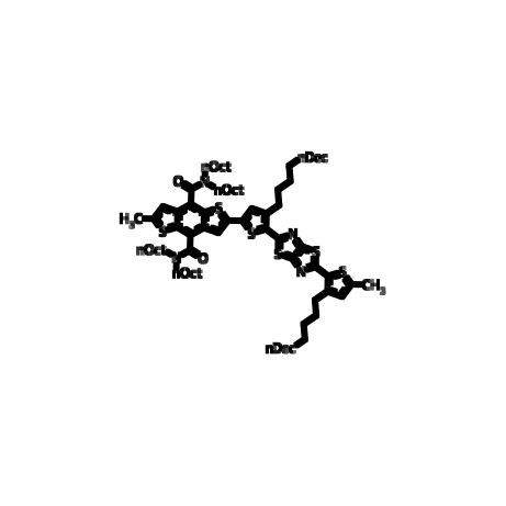 CCCCCCCCCCCCCCc1cc(C)sc1-c1nc2sc(-c3sc(-c4cc5c(C(=O)N(CCCCCCCC)CCCCCCCC)c6sc(C)cc6c(C(=O)N(CCCCCCCC)CCCCCCCC)c5s4)cc3CCCCCCCCCCCCCC)nc2s1